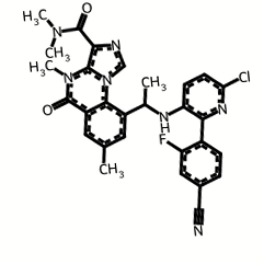 Cc1cc(C(C)Nc2ccc(Cl)nc2-c2ccc(C#N)cc2F)c2c(c1)c(=O)n(C)c1c(C(=O)N(C)C)ncn21